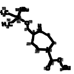 CC(C)(C)OC(=O)N1CCNC(CO[Si](C)(C)C(C)(C)C)CC1